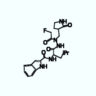 CC(C)CC(NC(=O)c1cc2ccccc2[nH]1)C(=O)NN(CC1CCNC1=O)C(=O)CF